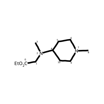 CCOC(=O)CN(C)C1CCN(C)CC1